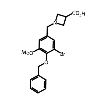 COc1cc(CN2CC(C(=O)O)C2)cc(Br)c1OCc1ccccc1